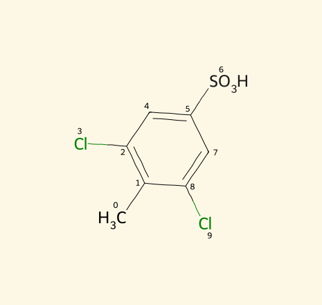 Cc1c(Cl)cc(S(=O)(=O)O)cc1Cl